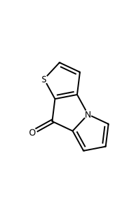 O=C1c2sccc2-n2cccc21